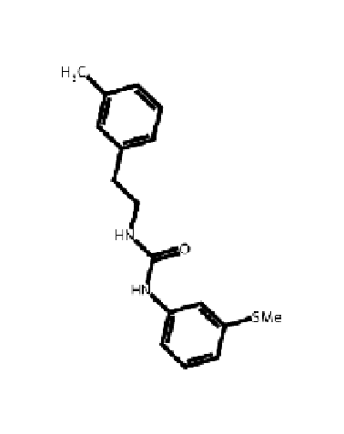 CSc1cccc(NC(=O)NCCc2cccc(C)c2)c1